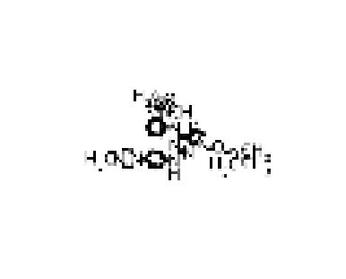 CN1CCN(c2ccc(Nc3nc(Nc4ccccc4N(C)S(C)(=O)=O)c4ccn(COCC[Si](C)(C)C)c4n3)cc2)CC1